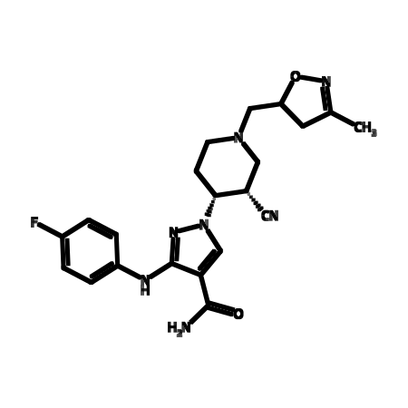 CC1=NOC(CN2CC[C@@H](n3cc(C(N)=O)c(Nc4ccc(F)cc4)n3)[C@@H](C#N)C2)C1